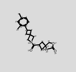 Cc1ccc(C2CC3(C2)CN(C(=O)C2CC4(COC(=O)N4)C2)C3)c(C)c1